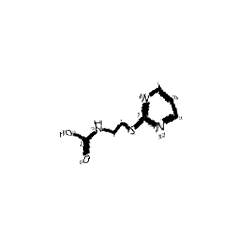 O=C(O)NCCSc1ncccn1